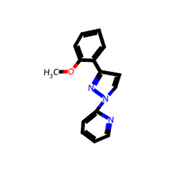 COc1ccccc1-c1ccn(-c2ccccn2)n1